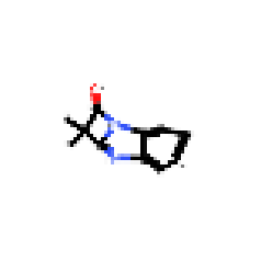 CC1(C)C(=O)n2c1nc1ccccc12